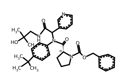 CC(C)(O)CNC(=O)C(c1cccnc1)N(C(=O)[C@H]1CCCN1C(=O)OCc1ccccc1)c1ccc(C(C)(C)C)cc1